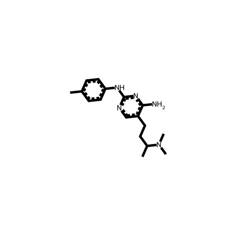 Cc1ccc(Nc2ncc(CCC(C)N(C)C)c(N)n2)cc1